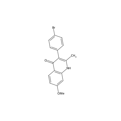 COc1ccc2c(=O)c(-c3ccc(Br)cc3)c(C)[nH]c2c1